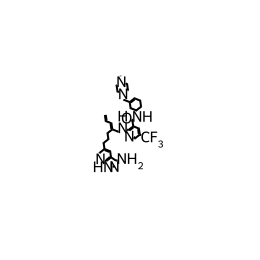 C=C/C=C(\CCCc1cnc2[nH]nc(N)c2c1)CNc1ncc(C(F)(F)F)cc1C(=O)N[C@H]1CCC=C(CN2CCN(C)CC2)C1